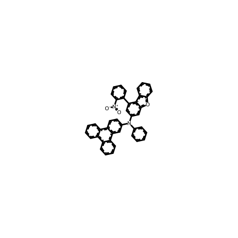 O=[N+]([O-])c1ccccc1-c1cc(N(c2ccccc2)c2ccc3c4ccccc4c4ccccc4c3c2)cc2oc3ccccc3c12